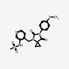 CS(=O)(=O)Nc1cnccc1CN1C(=O)N(c2ccc(SC(F)(F)F)cc2)C(=O)C12CC2